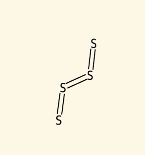 S=S=S=S